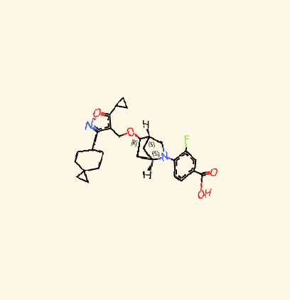 O=C(O)c1ccc(N2C[C@@H]3C[C@H]2C[C@H]3OCc2c(C3CCC4(CC3)CC4)noc2C2CC2)c(F)c1